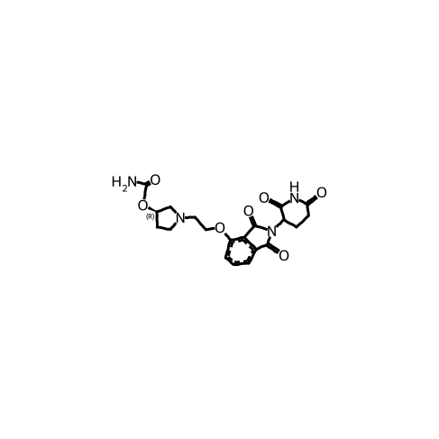 NC(=O)O[C@@H]1CCN(CCOc2cccc3c2C(=O)N(C2CCC(=O)NC2=O)C3=O)C1